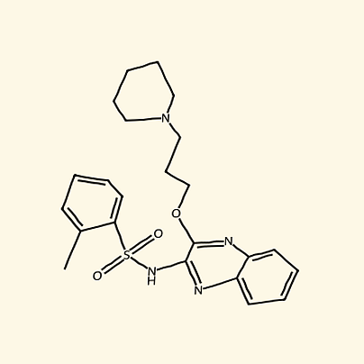 Cc1ccccc1S(=O)(=O)Nc1nc2ccccc2nc1OCCCN1CCCCC1